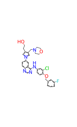 OCCc1cn(-c2ccc3ncnc(Nc4ccc(OCc5cccc(F)c5)c(Cl)c4)c3c2)cc1CN1CCOCC1